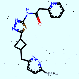 CC(=O)Nc1ccc(CC2CC(c3nnc(NC(=O)Cc4ccccn4)s3)C2)nn1